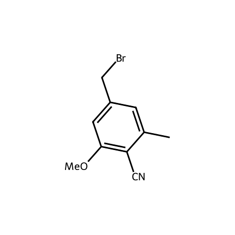 COc1cc(CBr)cc(C)c1C#N